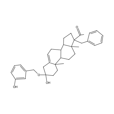 CC(=O)C1(Cc2ccccc2)CCC2C3CC=C4CC(O)(OCc5cccc(O)c5)CCC4(C)C3CCC21C